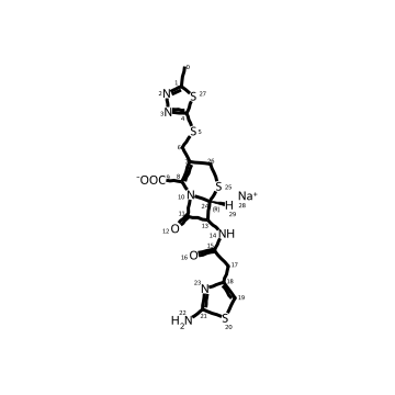 Cc1nnc(SCC2=C(C(=O)[O-])N3C(=O)C(NC(=O)Cc4csc(N)n4)[C@H]3SC2)s1.[Na+]